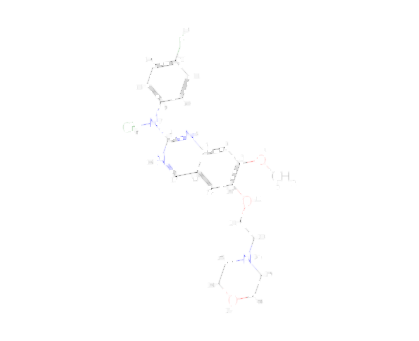 COc1cc2nc(N(Cl)c3ccc(F)cc3)ncc2cc1OCCN1CCOCC1